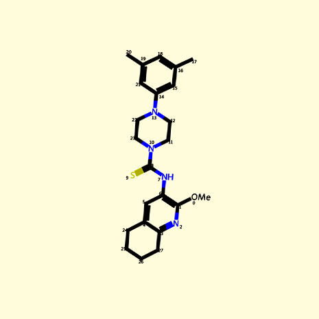 COc1nc2c(cc1NC(=S)N1CCN(c3cc(C)cc(C)c3)CC1)CCCC2